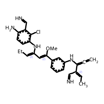 C=C=C(Nc1cccc(/C(=C/C(=C/CC)Nc2ccc(N)c(C=N)c2Cl)OC)c1)/C(C=N)=C/C